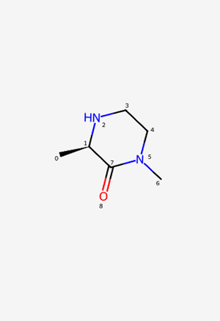 C[C@H]1NCCN(C)C1=O